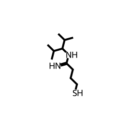 CC(C)C(NC(=N)CCCS)C(C)C